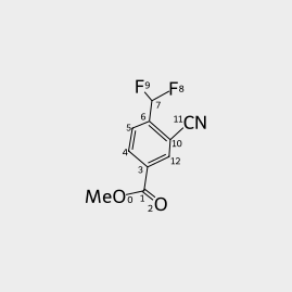 COC(=O)c1ccc(C(F)F)c(C#N)c1